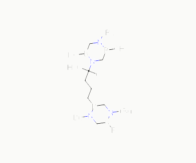 CCB1CN(C(C)(C)C)B(CCCC(C)(C)N2CB(C)N(C(C)(C)C)CB2C)CN1C(C)(C)C